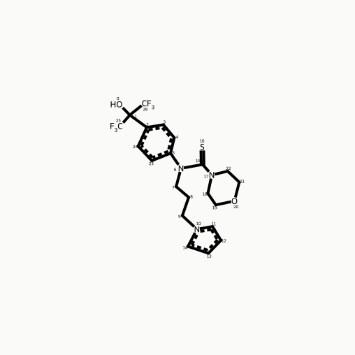 OC(c1ccc(N(CCCn2cccc2)C(=S)N2CCOCC2)cc1)(C(F)(F)F)C(F)(F)F